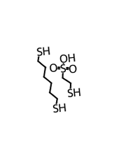 O=S(=O)(O)CCS.SCCCCCCS